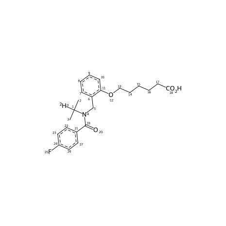 [2H]C(C)(C)N(Cc1ccccc1OCCCCCC(=O)O)C(=O)c1ccc(F)cc1